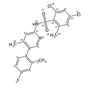 Cc1cc(F)ccc1-c1cnc(NS(=O)(=O)c2c(C)cc(Cl)cc2Cl)cc1C